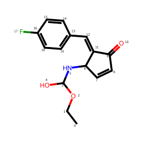 CCOC(O)NC1C=CC(=O)/C1=C/c1ccc(F)cc1